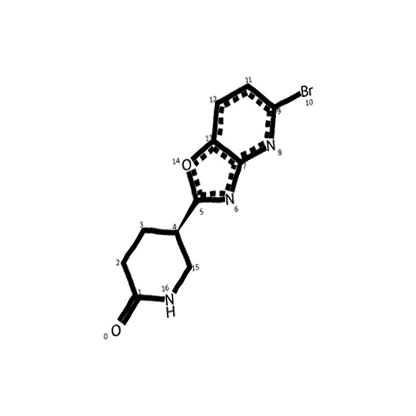 O=C1CC[C@@H](c2nc3nc(Br)ccc3o2)CN1